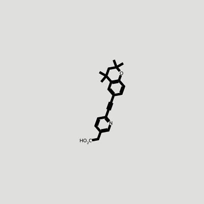 CC1(C)CC(C)(C)c2cc(C#Cc3ccc(CC(=O)O)cn3)ccc2O1